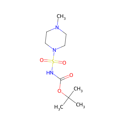 CN1CCN(S(=O)(=O)NC(=O)OC(C)(C)C)CC1